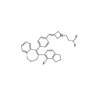 Fc1c(C2=C(c3ccc(C=C4CN(CCC(F)F)C4)cc3)c3ccccc3CCC2)ccc2c1CCC2